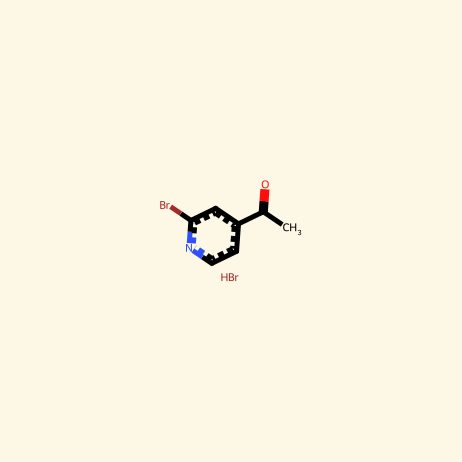 Br.CC(=O)c1ccnc(Br)c1